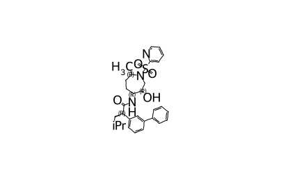 CC(C)C[C@@H](C(=O)N[C@@H]1CC[C@@H](C)N(S(=O)(=O)c2ccccn2)C[C@H]1O)c1cccc(-c2ccccc2)c1